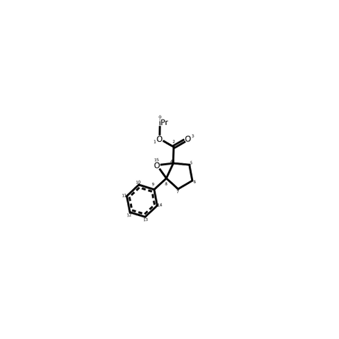 CC(C)OC(=O)C12CCCC1(c1ccccc1)O2